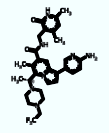 Cc1cc(C)c(CNC(=O)c2cc3c(-c4ccc(N)nc4)ccn3c([C@@H](C)N3CCN(CC(F)(F)F)CC3)c2C)c(=O)[nH]1